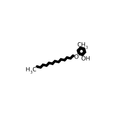 CCCCCCCCCCCCCCOc1cc(C)ccc1O